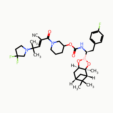 CC1(C)[C@@H]2C[C@H]3OB([C@H](Cc4ccc(F)cc4)NC(=O)OC4CCCN(C(=O)C(C#N)=CC(C)(C)N5CCC(F)(F)C5)C4)O[C@@]3(C)[C@H]1C2